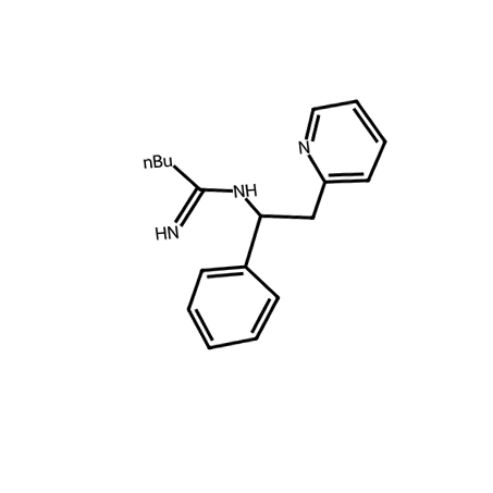 CCCCC(=N)NC(Cc1ccccn1)c1ccccc1